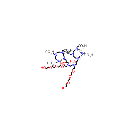 O=CCN1CCN(CC(=O)O)CCN(CC(=O)O)CCN(CC(O)CN(CCOCCOCCOCCO)CCN(CCOCCOCCOCCO)CC(O)CN2CCN(CC(=O)O)CCN(CC(=O)O)CCN(CC(=O)O)CC2)CC1